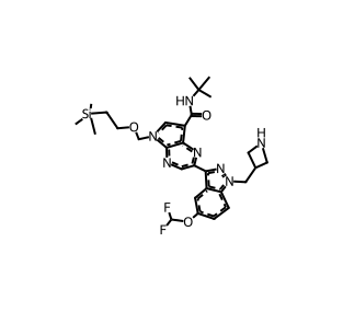 CC(C)(C)NC(=O)c1cn(COCC[Si](C)(C)C)c2ncc(-c3nn(CC4CNC4)c4ccc(OC(F)F)cc34)nc12